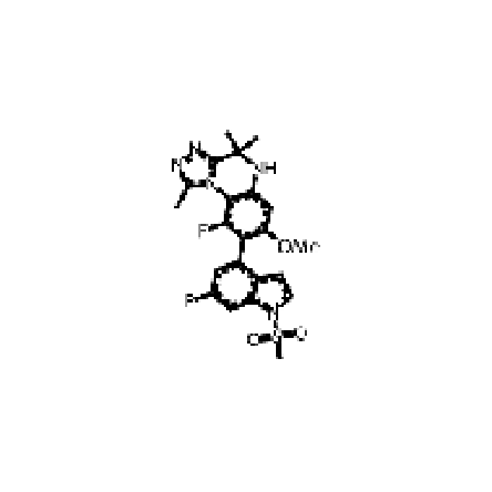 COc1cc2c(c(F)c1-c1cc(F)cc3c1ccn3S(C)(=O)=O)-n1c(C)nnc1C(C)(C)N2